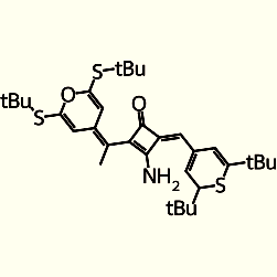 CC(=C1C=C(SC(C)(C)C)OC(SC(C)(C)C)=C1)C1=C(N)C(=CC2=CC(C(C)(C)C)SC(C(C)(C)C)=C2)C1=O